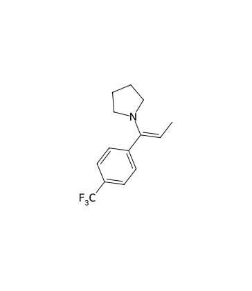 CC=C(c1ccc(C(F)(F)F)cc1)N1CCCC1